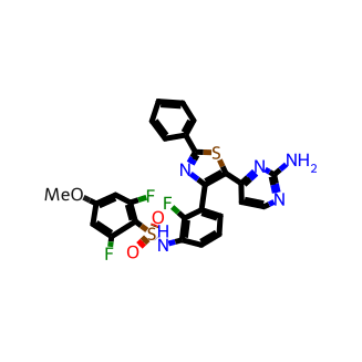 COc1cc(F)c(S(=O)(=O)Nc2cccc(-c3nc(-c4ccccc4)sc3-c3ccnc(N)n3)c2F)c(F)c1